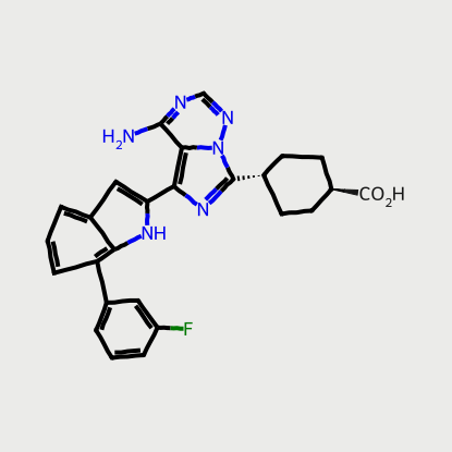 Nc1ncnn2c1c(-c1cc3cccc(-c4cccc(F)c4)c3[nH]1)nc2[C@H]1CC[C@H](C(=O)O)CC1